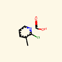 Cc1cccnc1Cl.O=CO